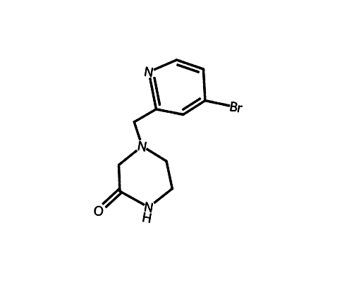 O=C1CN(Cc2cc(Br)ccn2)CCN1